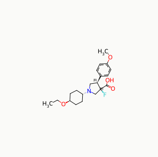 CCO[C@H]1CC[C@H](N2C[C@@H](c3ccc(OC)cc3)[C@](F)(C(=O)O)C2)CC1